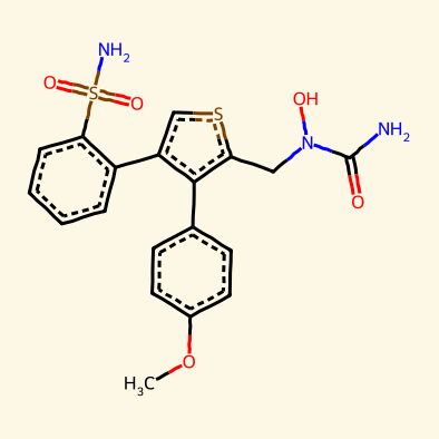 COc1ccc(-c2c(-c3ccccc3S(N)(=O)=O)csc2CN(O)C(N)=O)cc1